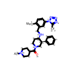 COc1ccc(-n2nnnc2C(F)(F)F)cc1CN[C@@H]1CCN(C(=O)C2CCN(C(C)=O)CC2)C[C@@H]1c1ccccc1